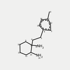 Cc1ccc(CCC2(N)CCCCC2N)cc1